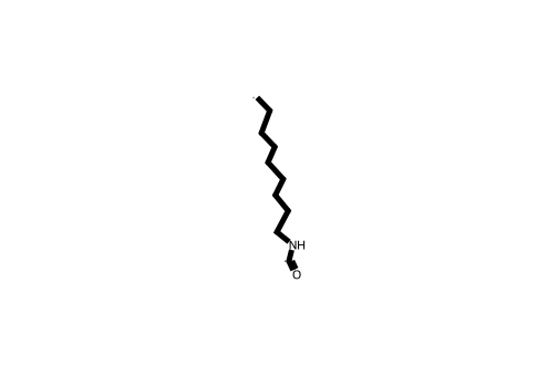 [CH2]CCCCCCCCN[C]=O